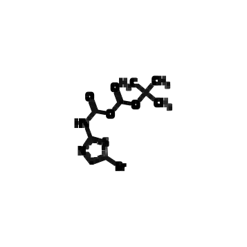 CC(C)(C)OC(=O)OC(=O)Nc1ncc(Br)s1